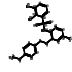 COc1ccc(COc2nc(Cl)cnc2NS(=O)(=O)c2cccc(Cl)c2Cl)cn1